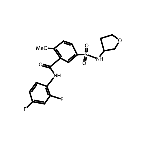 COc1ccc(S(=O)(=O)NC2CCOC2)cc1C(=O)Nc1ccc(F)cc1F